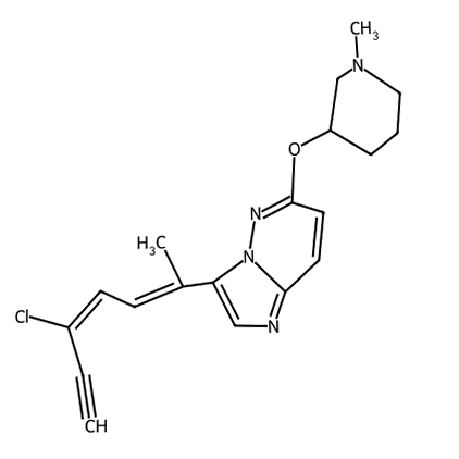 C#C/C(Cl)=C\C=C(/C)c1cnc2ccc(OC3CCCN(C)C3)nn12